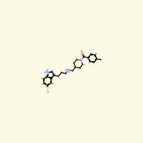 Cc1ccc(C(=O)N2CCC(CNCCCc3c[nH]c4ccc(F)cc34)CC2)cc1